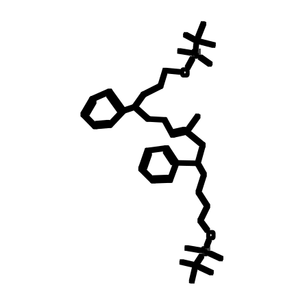 C/C(=C\CCC(CCCO[Si](C)(C)C(C)(C)C)c1ccccc1)CC(CCCCO[Si](C)(C)C(C)(C)C)c1ccccc1